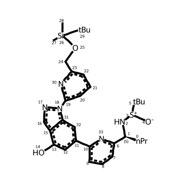 CCC[C@H](N[S+]([O-])C(C)(C)C)c1cccc(-c2cc(O)c3cnn(-c4cccc(CO[Si](C)(C)C(C)(C)C)n4)c3c2)n1